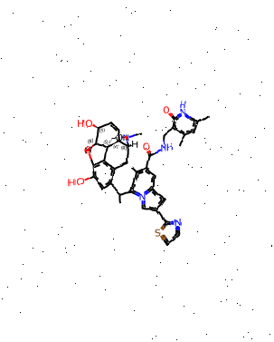 Cc1cc(C)c(CNC(=O)c2cc3cc(-c4nccs4)cn3c(C(C)c3cc(O)c4c5c3C[C@@H]3[C@@H]6C=C[C@H](O)[C@H](O4)[C@]56CCN3C)c2C)c(=O)[nH]1